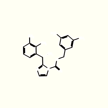 Cc1cc(C)cc(COC(=O)n2ccnc2[C@@H](C)c2cccc(C)c2C)c1